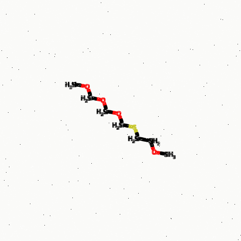 [SiH3]O[SiH2]O[SiH2]O[SiH2]S[SiH2][SiH2]O[SiH3]